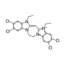 CCN1C2=Cc3n(c4cc(Cl)c(Cl)cc4[n+]3CC)CCN2c2cc(Cl)c(Cl)cc21